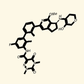 COc1nc(-c2cccc(-c3cc(F)cc(NC(=O)c4nn(C)c(=O)n(C)c4=O)c3C)c2C)cc2c1[C@@H](NC1=C(O)COCC1)CC2